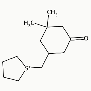 CC1(C)CC(=O)CC(C[S+]2CCCC2)C1